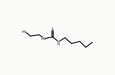 CCCCCNC(=S)NCCS